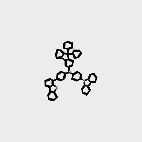 c1ccc(C2(c3ccccc3)c3ccccc3-c3cc(N(c4ccc(-c5cccc6c5sc5ccccc56)cc4)c4ccc(-n5c6ccccc6c6ccccc65)cc4)ccc32)cc1